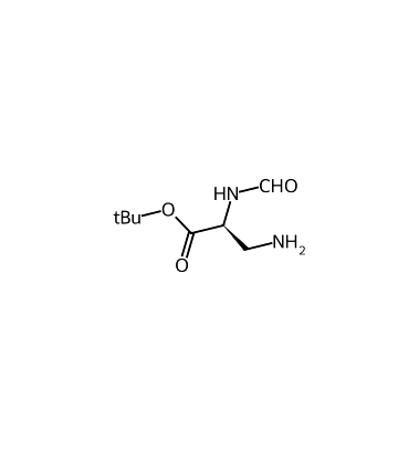 CC(C)(C)OC(=O)[C@H](CN)NC=O